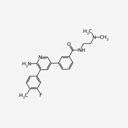 Cc1ccc(-c2cc(-c3cccc(C(=O)NCCN(C)C)c3)cnc2N)cc1F